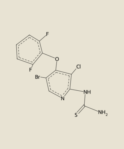 NC(=S)Nc1ncc(Br)c(Oc2c(F)cccc2F)c1Cl